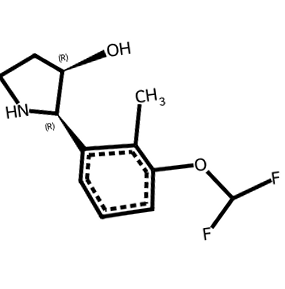 Cc1c(OC(F)F)cccc1[C@H]1NCC[C@H]1O